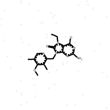 CCn1c(=O)n(Cc2ncc(C)c(OC)c2C)c2nc(N)nc(Cl)c21